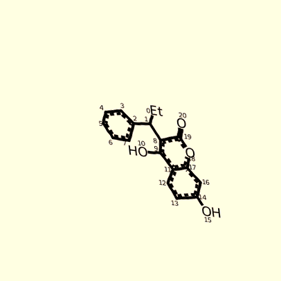 CCC(c1ccccc1)c1c(O)c2ccc(O)cc2oc1=O